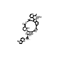 CCO[C@@H]1C2=NC(CS2)c2ccc3c(c2)c(c(-c2cccnc2[C@H](C)OC)n3CC)CC(C)(C)COC(=O)[C@@H]2CCCN(N2)C(=O)[C@H]1NC(=O)[C@H]1[C@H](C)[C@@H]1c1ccc2c(ccn2C)n1